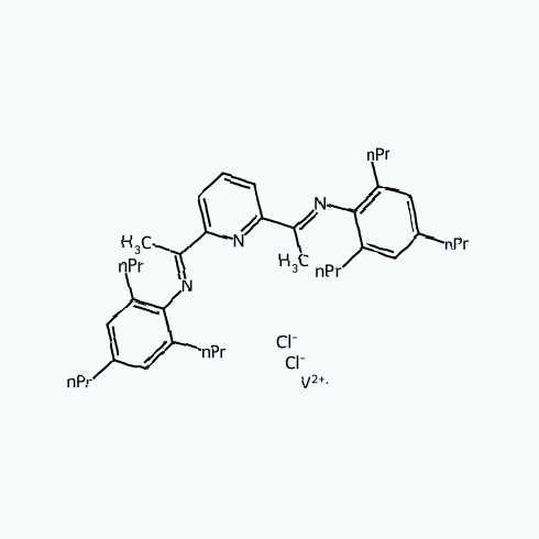 CCCc1cc(CCC)c(N=C(C)c2cccc(C(C)=Nc3c(CCC)cc(CCC)cc3CCC)n2)c(CCC)c1.[Cl-].[Cl-].[V+2]